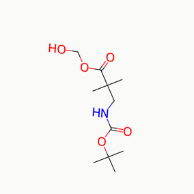 CC(C)(C)OC(=O)NCC(C)(C)C(=O)OCO